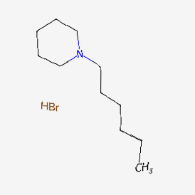 Br.CCCCCCN1CCCCC1